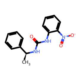 C[C@H](NC(=O)Nc1ccccc1[N+](=O)[O-])c1ccccc1